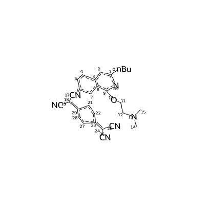 CCCCc1cc2ccccc2c(OCCN(C)C)n1.N#CC(C#N)=c1ccc(=C(C#N)C#N)cc1